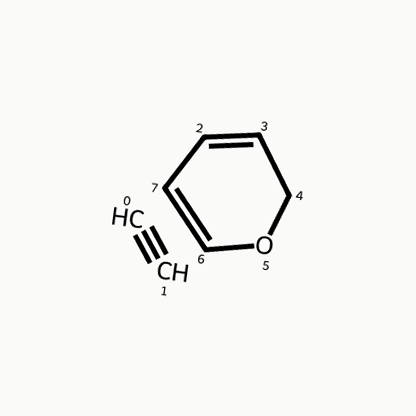 C#C.C1=CCOC=C1